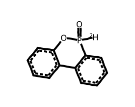 [2H]P1(=O)Oc2ccccc2-c2ccccc21